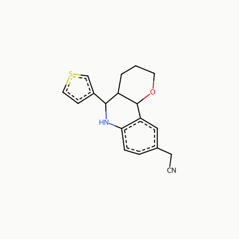 N#CCc1ccc2c(c1)C1OCCCC1C(c1ccsc1)N2